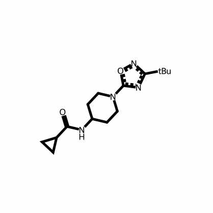 CC(C)(C)c1noc(N2CCC(NC(=O)C3CC3)CC2)n1